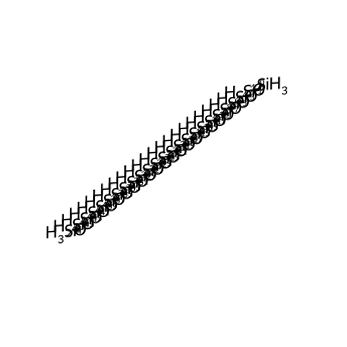 [SiH3]O[SiH2]O[SiH2]O[SiH2]O[SiH2]O[SiH2]O[SiH2]O[SiH2]O[SiH2]O[SiH2]O[SiH2]O[SiH2]O[SiH2]O[SiH2]O[SiH2]O[SiH2]O[SiH2]O[SiH2]O[SiH2]O[SiH2]O[SiH2]O[SiH2]O[SiH2]O[SiH2]O[SiH3]